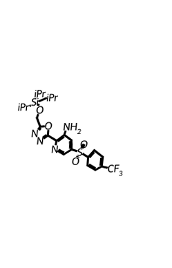 CC(C)[Si](OCc1nnc(-c2ncc(S(=O)(=O)c3ccc(C(F)(F)F)cc3)cc2N)o1)(C(C)C)C(C)C